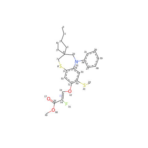 CCCCC1(CC)CSc2cc(O/C=C(\F)C(=O)OC)c(SC)cc2N(c2ccccc2)C1